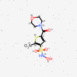 O=C(c1cc(S(=O)(=O)NO)c([N+](=O)[O-])s1)N1CCOCC1